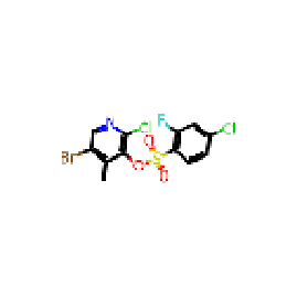 Cc1c(Br)cnc(Cl)c1OS(=O)(=O)c1ccc(Cl)cc1F